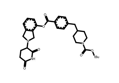 CC(C)(C)OC(=O)N1CCC(Cc2ccc(C(=O)Oc3cccc4c3CN(C3CCC(=O)NC3=O)C4)cc2)CC1